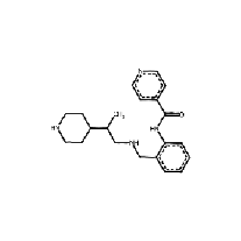 CC(CNCc1ccccc1NC(=O)c1ccncc1)C1CCNCC1